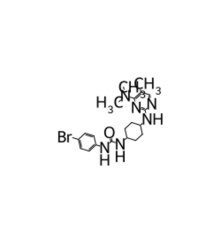 Cc1cnc(NC2CCC(NC(=O)Nc3ccc(Br)cc3)CC2)nc1N(C)C